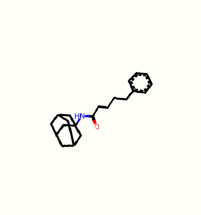 O=C(CCCCc1ccccc1)NC12CC3CC(CC(C3)C1)C2